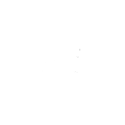 COC(CNC(C)C)C1CCCCC1